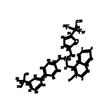 Cc1ccc2ccccc2c1CN(Cc1ccc(-c2cccc(C(C)(C)C)c2)cc1)Cc1ccc(C(F)(F)F)o1